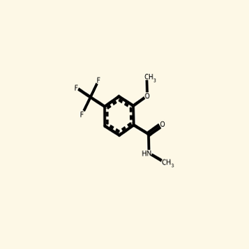 CNC(=O)c1ccc(C(F)(F)F)cc1OC